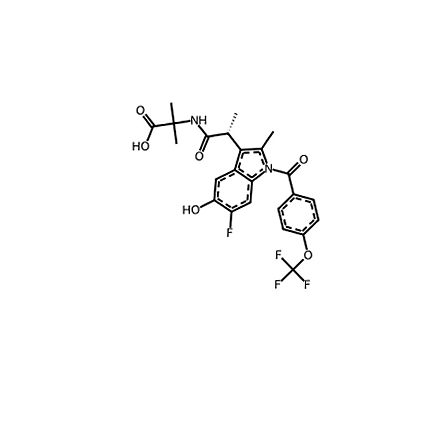 Cc1c([C@@H](C)C(=O)NC(C)(C)C(=O)O)c2cc(O)c(F)cc2n1C(=O)c1ccc(OC(F)(F)F)cc1